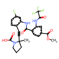 COC(=O)c1ccc(C(=O)Nc2cc(F)ccc2C#CC2(C)CCCN2C(=O)O)c(NC(=O)C(F)(F)F)c1